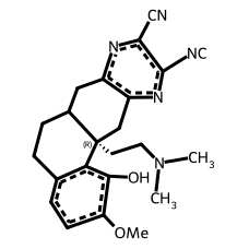 [C-]#[N+]c1nc2c(nc1C#N)CC1CCc3ccc(OC)c(O)c3[C@]1(CCN(C)C)C2